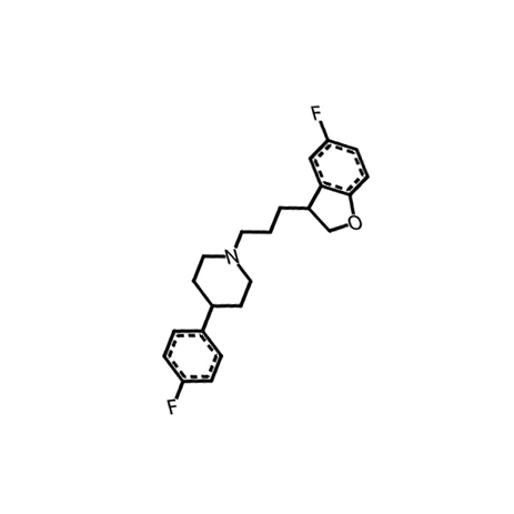 Fc1ccc(C2CCN(CCCC3COc4ccc(F)cc43)CC2)cc1